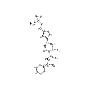 CC1(COc2ccn(-c3ccc(C(=O)N[S+]([O-])c4ccccc4)c(F)n3)n2)CC1